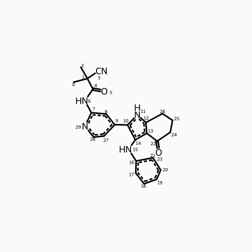 CC(C)(C#N)C(=O)Nc1cc(-c2[nH]c3c(c2Nc2ccccc2)C(=O)CCC3)ccn1